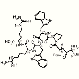 CC[C@H](C)[C@H](N)C(=O)N[C@H](C(=O)N1CCC[C@H]1C(=O)N[C@@H](Cc1c[nH]c2ccccc12)C(=O)N[C@@H](Cc1c[nH]c2ccccc12)C(=O)N[C@@H](CCCNC(=N)N)C(=O)N[C@@H](CCCNC(=N)N)C(=O)O)[C@@H](C)CC